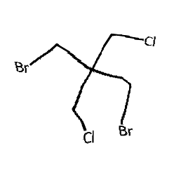 ClCC(CCl)(CBr)CBr